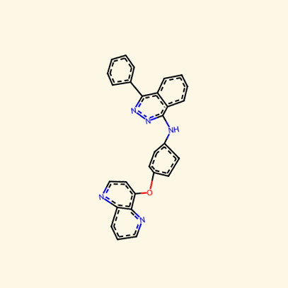 c1ccc(-c2nnc(Nc3ccc(Oc4ccnc5cccnc45)cc3)c3ccccc23)cc1